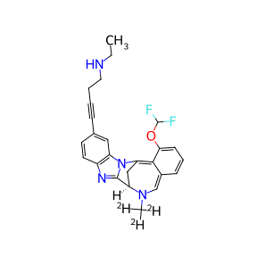 [2H]C([2H])([2H])N1C=c2cccc(OC(F)F)c2=C2C[C@@H]1c1nc3ccc(C#CCCNCC)cc3n12